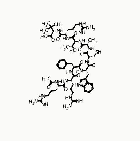 CC(=O)N[C@@H](CCCNC(=N)N)C(=O)N[C@@H](CCCNC(=N)N)C(=O)N[C@@H](Cc1ccccc1)C(=O)N[C@@H](Cc1c[nH]c2ccccc12)C(=O)N[C@@H](CS)C(=O)N[C@@H](C)C(=O)N[C@H](C(=O)N[C@@H](CCCNC(=N)N)C(=O)N[C@H](C(=O)O)C(C)(C)C)[C@@H](C)O